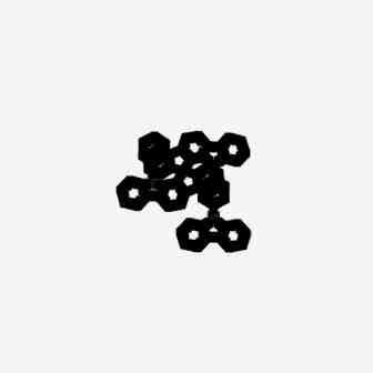 c1ccc(-n2c3ccccc3c3ccc4c(c32)C2(c3ccccc3-4)c3ccccc3-c3ccc4c5ccccc5n(-c5ccc(-n6c7ccccc7c7ccccc76)cc5)c4c32)cc1